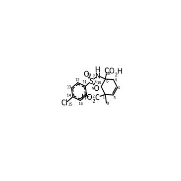 CC1(C(=O)O)C=CCC(NS(=O)(=O)c2ccc(Cl)cc2)(C(=O)O)C1